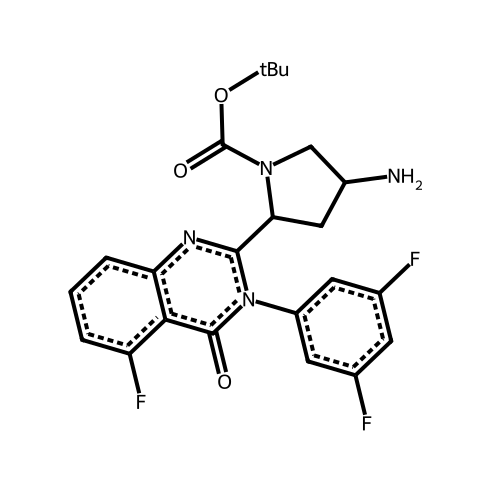 CC(C)(C)OC(=O)N1CC(N)CC1c1nc2cccc(F)c2c(=O)n1-c1cc(F)cc(F)c1